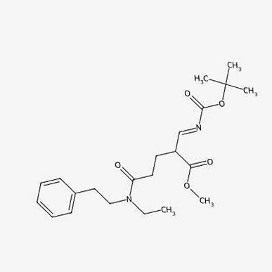 CCN(CCc1ccccc1)C(=O)CCC(/C=N/C(=O)OC(C)(C)C)C(=O)OC